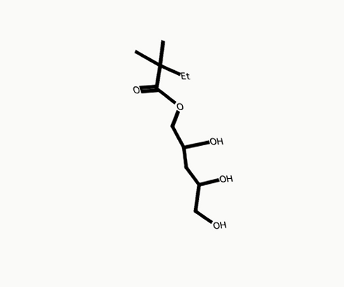 CCC(C)(C)C(=O)OCC(O)CC(O)CO